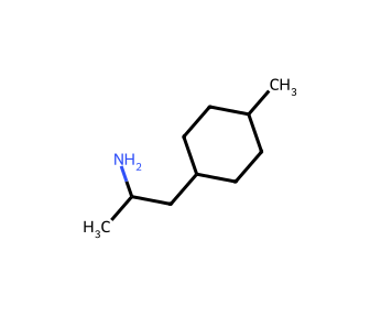 CC(N)CC1CCC(C)CC1